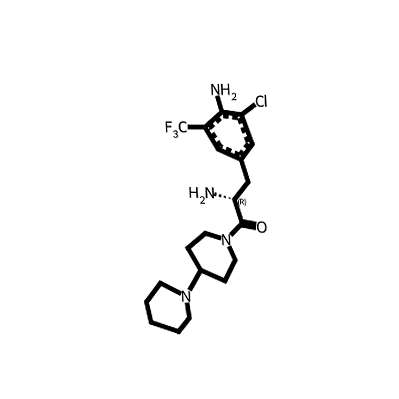 Nc1c(Cl)cc(C[C@@H](N)C(=O)N2CCC(N3CCCCC3)CC2)cc1C(F)(F)F